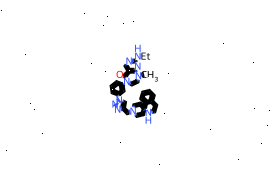 CCNc1ncc2c(n1)N(C)CCN(c1cccc(-n3cc(CN4CCC5(CC4)NCCc4ccccc45)nn3)c1)C2=O